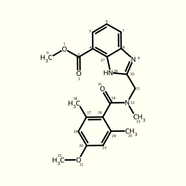 COC(=O)c1cccc2nc(CN(C)C(=O)c3c(C)cc(OC)cc3C)[nH]c12